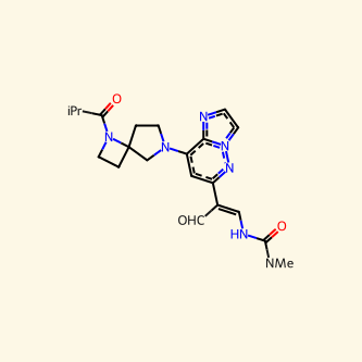 CNC(=O)N/C=C(\C=O)c1cc(N2CCC3(CCN3C(=O)C(C)C)C2)c2nccn2n1